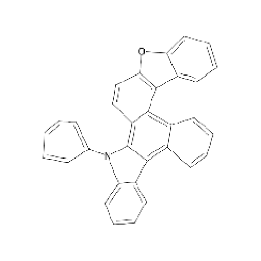 c1ccc(-n2c3ccccc3c3c4ccccc4c4c(ccc5oc6ccccc6c54)c32)cc1